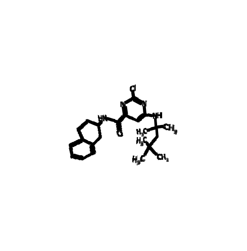 CC(C)(C)CC(C)(C)Nc1cc(C(=O)NC2CCc3ccccc3C2)nc(Cl)n1